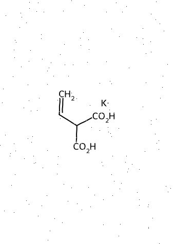 C=CC(C(=O)O)C(=O)O.[K]